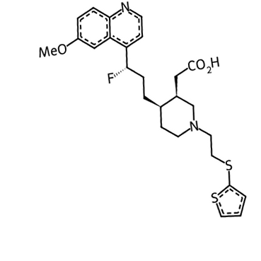 COc1ccc2nccc([C@@H](F)CC[C@@H]3CCN(CCSc4cccs4)C[C@@H]3CC(=O)O)c2c1